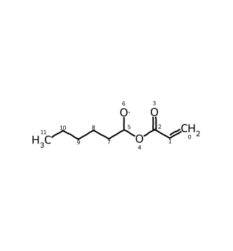 C=CC(=O)OC([O])CCCCC